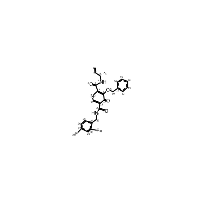 C=C[C@H](C)NC(=O)C1=C(OCc2ccccc2)C(=O)C(C(=O)NCc2ccc(F)cc2F)=C[N]1